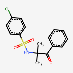 CC(C)(NS(=O)(=O)c1ccc(Cl)cc1)C(=O)c1ccccc1